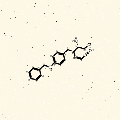 O=B/C=N\[C@@H](Cc1ccc(OCc2ccccc2)cc1)[C@H](O)CCl